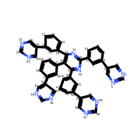 c1cc(-c2cncnc2)cc(-c2nc(-c3cccc(-c4cncnc4)c3)c(-c3cccc(-c4cncnc4)c3)c(-c3cccc(-c4cncnc4)c3)n2)c1